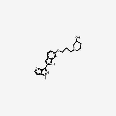 OC1CCCN(CCCOc2ccc3cc(-c4n[nH]c5ccsc45)[nH]c3c2)C1